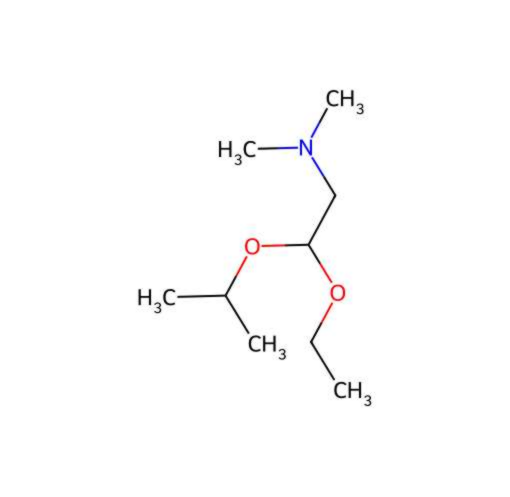 CCOC(CN(C)C)OC(C)C